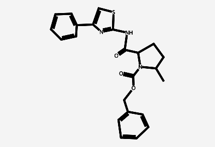 CC1CCC(C(=O)Nc2nc(-c3ccccc3)cs2)N1C(=O)OCc1ccccc1